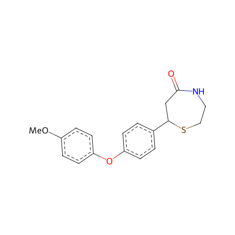 COc1ccc(Oc2ccc(C3CC(=O)NCCS3)cc2)cc1